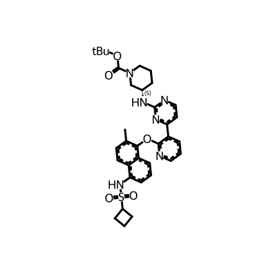 Cc1ccc2c(NS(=O)(=O)C3CCC3)cccc2c1Oc1ncccc1-c1ccnc(N[C@H]2CCCN(C(=O)OC(C)(C)C)C2)n1